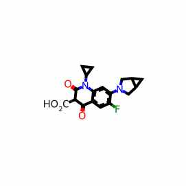 O=C(O)C1C(=O)c2cc(F)c(N3CC4CC4C3)cc2N(C2CC2)C1=O